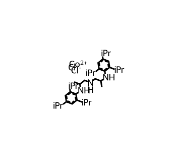 CC(CNCC(C)Nc1c(C(C)C)cc(C(C)C)cc1C(C)C)Nc1c(C(C)C)cc(C(C)C)cc1C(C)C.[Cl-].[Cl-].[Co+2]